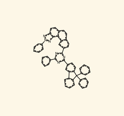 c1ccc(-c2nc(-c3ccc4c(c3)-c3ccccc3C4(c3ccccc3)c3ccccc3)nc(-c3ccc4ccc5ccc6nn(-c7ccccc7)nc6c5c4c3)n2)cc1